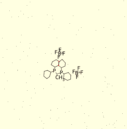 CC(P(C1CCCCC1)C1CCCCC1)P(C1CCCCC1)C1CCCCC1.F[B-](F)(F)F.F[B-](F)(F)F